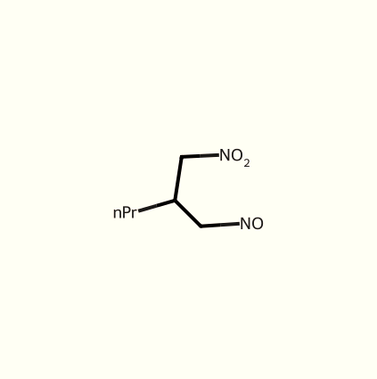 CCCC(CN=O)C[N+](=O)[O-]